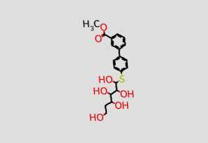 COC(=O)c1cccc(-c2ccc(SC(O)C(O)C(O)C(O)CCO)cc2)c1